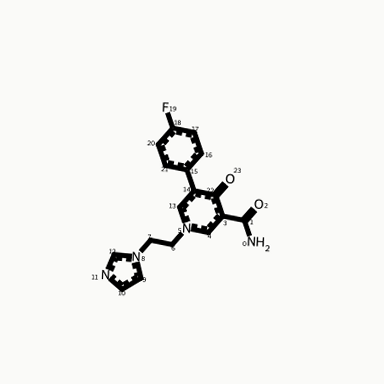 NC(=O)c1cn(CCn2ccnc2)cc(-c2ccc(F)cc2)c1=O